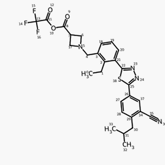 CCc1c(CN2CC(C(=O)OC(=O)C(F)(F)F)C2)cccc1-c1nnc(-c2ccc(CC(C)C)c(C#N)c2)s1